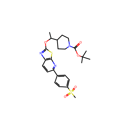 CC(Oc1nc2ccc(-c3ccc(S(C)(=O)=O)cc3)nc2s1)C1CCN(C(=O)OC(C)(C)C)CC1